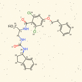 O=C(NCC(NC(=O)c1c(Cl)cc(OCCc2ccccc2)cc1Cl)C(=O)O)N[C@@H]1CCc2ccccc21